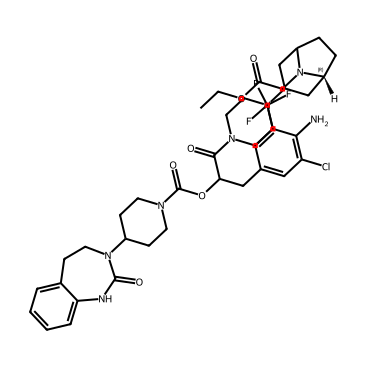 CCOC(=O)CN1C2CC[C@@H]1CC(N1CCN(C(=O)C(Cc3cc(Cl)c(N)c(C(F)(F)F)c3)OC(=O)N3CCC(N4CCc5ccccc5NC4=O)CC3)CC1)C2